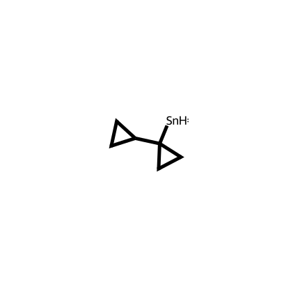 [SnH][C]1(C2CC2)CC1